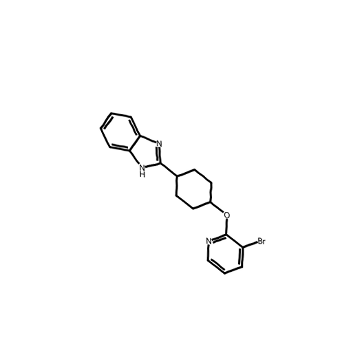 Brc1cccnc1OC1CCC(c2nc3ccccc3[nH]2)CC1